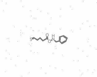 O=C(CCCC=S)ONCc1ccccc1